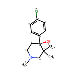 CN1CC[C@](O)(c2ccc(Cl)cc2)C(C)(C)C1